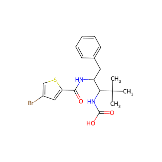 CC(C)(C)C(NC(=O)O)C(Cc1ccccc1)NC(=O)c1cc(Br)cs1